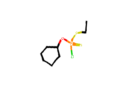 CCSP(=S)(Cl)OC1CCCCC1